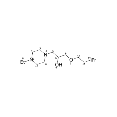 CCN1CCN(CC(O)COCCC(C)C)CC1